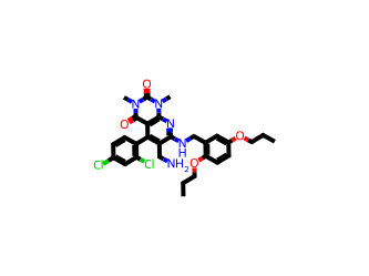 CCCOc1ccc(OCCC)c(CNc2nc3c(c(-c4ccc(Cl)cc4Cl)c2CN)c(=O)n(C)c(=O)n3C)c1